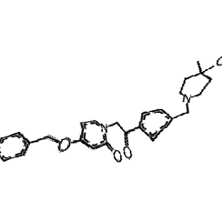 CC1(O)CCN(Cc2ccc(C(=O)Cn3ccc(OCc4ccc(F)cc4)cc3=O)cc2)CC1